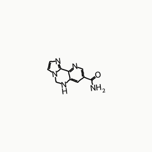 NC(=O)c1cnc2c(c1)NCn1ccnc1-2